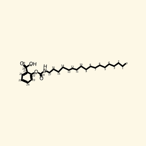 CCCCCCCCCCCCCCCCCCNC(=O)Oc1ccccc1C(=O)O